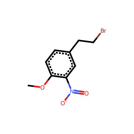 COc1ccc(CCBr)cc1[N+](=O)[O-]